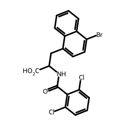 O=C(NC(Cc1ccc(Br)c2ccccc12)C(=O)O)c1c(Cl)cccc1Cl